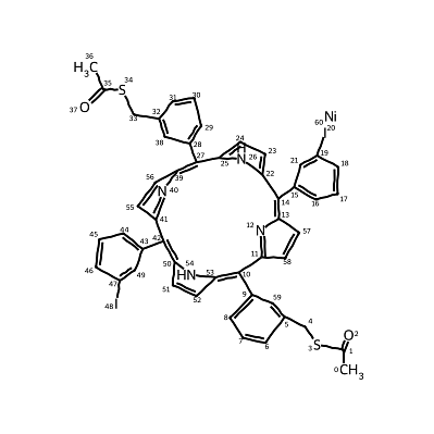 CC(=O)SCc1cccc(-c2c3nc(c(-c4cccc(I)c4)c4ccc([nH]4)c(-c4cccc(CSC(C)=O)c4)c4nc(c(-c5cccc(I)c5)c5ccc2[nH]5)C=C4)C=C3)c1.[Ni]